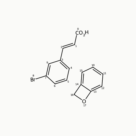 O=C(O)C=Cc1cccc(Br)c1.c1ccc2c(c1)CO2